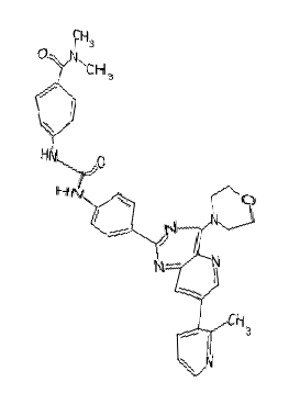 Cc1ncccc1-c1cnc2c(N3CCOCC3)nc(-c3ccc(NC(=O)Nc4ccc(C(=O)N(C)C)cc4)cc3)nc2c1